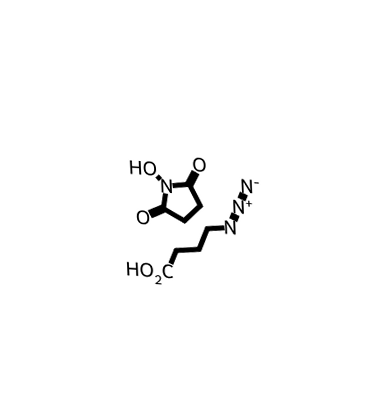 O=C1CCC(=O)N1O.[N-]=[N+]=NCCCC(=O)O